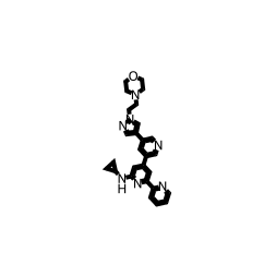 c1ccc(-c2cc(-c3cncc(-c4cnn(CCN5CCOCC5)c4)c3)cc(NC3CC3)n2)nc1